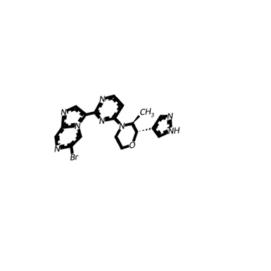 C[C@H]1[C@H](c2cn[nH]c2)OCCN1c1ccnc(-c2cnc3cnc(Br)cn23)n1